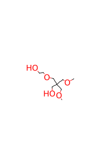 COCC(CO)(COC)COCCO